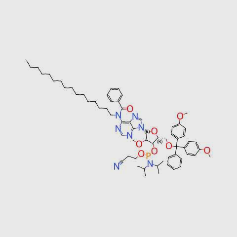 CCCCCCCCCCCCCCCCN(C(=O)c1ccccc1)c1ncnc2c1ncn2[C@@H]1O[C@H](COC(c2ccccc2)(c2ccc(OC)cc2)c2ccc(OC)cc2)C(OP(OCCC#N)N(C(C)C)C(C)C)C1OC